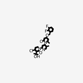 Cc1cnc(-n2ccc(Cl)c(C(C)(C)O)c2=O)cc1-n1c(C)cc(OCc2cccc(F)c2F)cc1=O